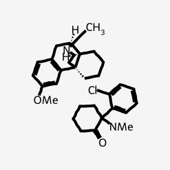 CNC1(c2ccccc2Cl)CCCCC1=O.COc1ccc2c(c1)[C@]13CCCC[C@@H]1[C@H](C2)N(C)CC3